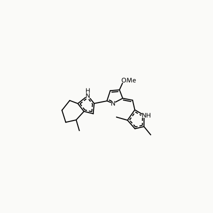 COC1=CC(c2cc3c([nH]2)CCCC3C)=NC1=Cc1[nH]c(C)cc1C